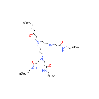 CCCCCCCCCCCCCC(=O)CCN(CCCCN(CCC(=O)NCCCCCCCCCCC)CCC(=O)NCCCCCCCCCCCC)CCCNCCC(=O)NCCCCCCCCCCCC